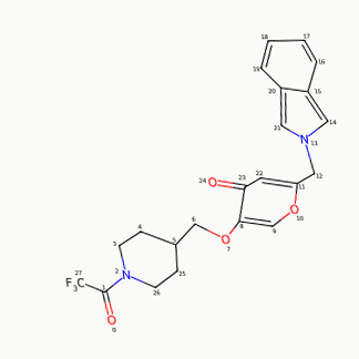 O=C(N1CCC(COc2coc(Cn3cc4ccccc4c3)cc2=O)CC1)C(F)(F)F